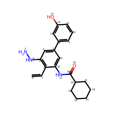 C=Cc1c(NN)cc(-c2cccc(O)c2)cc1NC(=O)C1CCCCC1